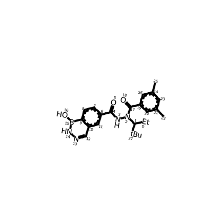 CCC(N(NC(=O)c1ccc2c(c1)C=NNB2O)C(=O)c1cc(C)cc(C)c1)C(C)(C)C